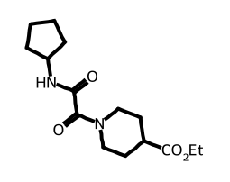 CCOC(=O)C1CCN(C(=O)C(=O)NC2CCCC2)CC1